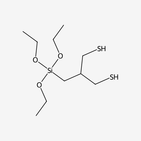 CCO[Si](CC(CS)CS)(OCC)OCC